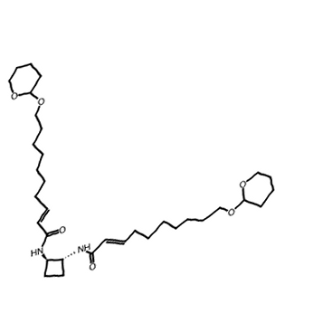 O=C(/C=C/CCCCCCCOC1CCCCO1)N[C@@H]1CC[C@H]1NC(=O)/C=C/CCCCCCCOC1CCCCO1